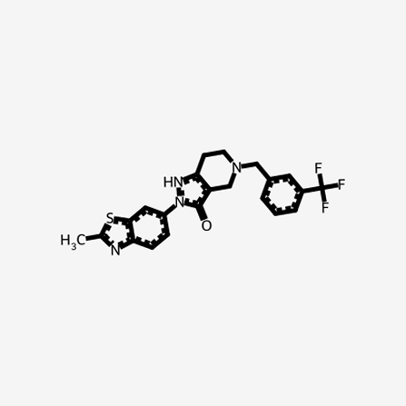 Cc1nc2ccc(-n3[nH]c4c(c3=O)CN(Cc3cccc(C(F)(F)F)c3)CC4)cc2s1